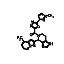 O=C(c1nnc(-c2ccn(C(F)(F)F)n2)o1)N1CCc2[nH]cnc2C1c1cc2c(C(F)(F)F)cccn2n1